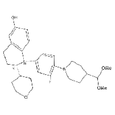 COC(OC)C1CCN(c2ccc([C@H]3c4ccc(O)cc4CC[C@H]3C3CCOCC3)cc2F)CC1